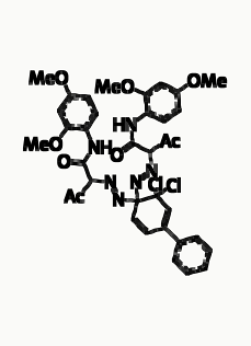 COc1ccc(NC(=O)C(N=NC2(N=NC(C(C)=O)C(=O)Nc3ccc(OC)cc3OC)C=CC(c3ccccc3)=CC2(Cl)Cl)C(C)=O)c(OC)c1